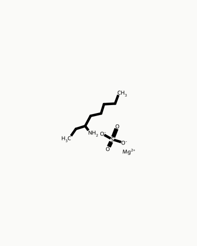 CCCCCC(N)CC.O=S(=O)([O-])[O-].[Mg+2]